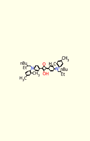 CCCCC(CC)CN(c1ccc(C2=C(O)C(=C3C=CC(=[N+](CC(CC)CCCC)c4ccc(C)cc4C)C=C3)C2=O)cc1)c1ccc(C)cc1C